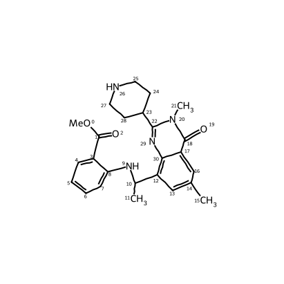 COC(=O)c1ccccc1NC(C)c1cc(C)cc2c(=O)n(C)c(C3CCNCC3)nc12